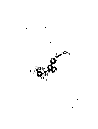 COCCCNc1ccc(-c2ccc(NC(=O)Nc3cc(C(C)(C)C)ccc3C)c3ccccc23)cn1